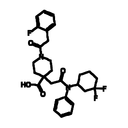 O=C(Cc1ccccc1F)N1CCC(CC(=O)N(c2ccccc2)C2CCCC(F)(F)C2)(C(=O)O)CC1